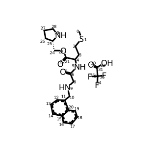 CSCCC(NC(=O)CNCc1cccc2ccccc12)C(=O)OC[C@@H]1CCCN1.O=C(O)C(F)(F)F